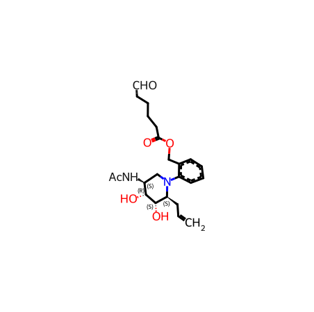 C=CC[C@H]1[C@H](O)[C@H](O)[C@@H](NC(C)=O)CN1c1ccccc1COC(=O)CCCCC=O